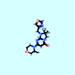 CC1COCCN1c1cc(=O)n2c(n1)N(Cc1cocn1)C(C)(C(F)(F)F)C2